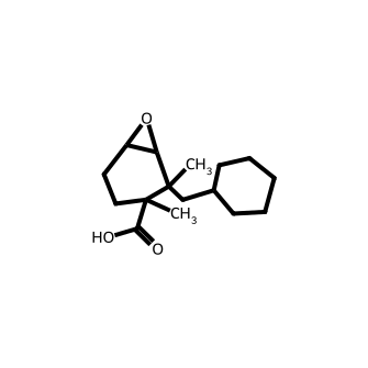 CC1(C(=O)O)CCC2OC2C1(C)CC1CCCCC1